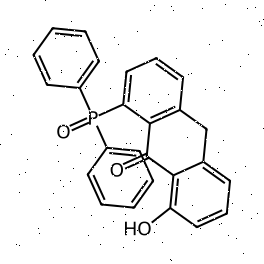 O=C1c2c(O)cccc2Cc2cccc(P(=O)(c3ccccc3)c3ccccc3)c21